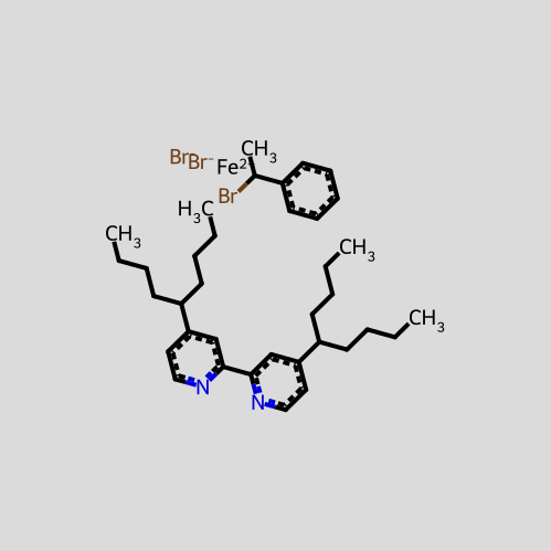 CC(Br)c1ccccc1.CCCCC(CCCC)c1ccnc(-c2cc(C(CCCC)CCCC)ccn2)c1.[Br-].[Br-].[Fe+2]